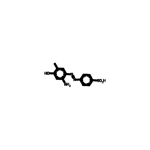 Cc1cc(N=Nc2ccc(S(=O)(=O)O)cc2)c(N)cc1O